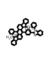 CC1(C)c2ccccc2-c2ccc3c(-c4ccc(-c5nc6ccccc6n5-c5ccccc5)cc4)c4c5c(ccc4c(-c4ccccc4)c3c21)-c1ccccc1C5(C)C